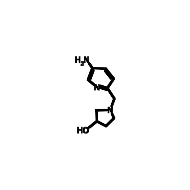 Nc1ccc(CN2CCC(O)C2)nc1